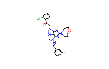 Cc1cccc(C=NNc2nc(N3CCOCC3)nc3c2ncn3CC(=O)c2ccccc2Cl)c1